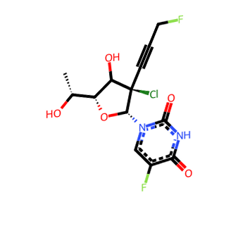 C[C@@H](O)[C@H]1O[C@@H](n2cc(F)c(=O)[nH]c2=O)[C@@](Cl)(C#CCF)C1O